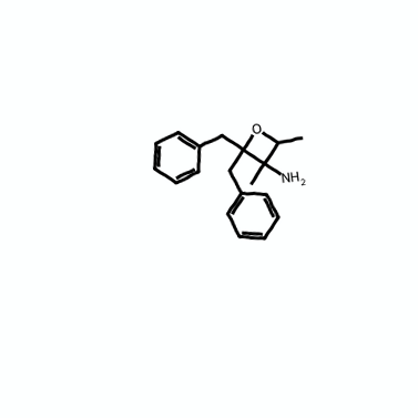 CC1OC(Cc2ccccc2)(Cc2ccccc2)C1(C)N